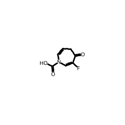 O=C1CC=CN(C(=O)O)C=C1F